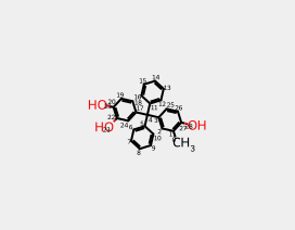 Cc1cc(C(c2ccccc2)(c2ccccc2)c2ccc(O)c(O)c2)ccc1O